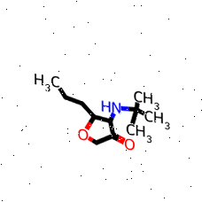 CCCC1OCC(=O)C1NC(C)(C)C